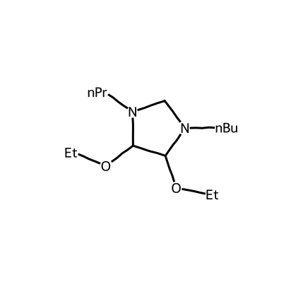 CCCCN1CN(CCC)C(OCC)C1OCC